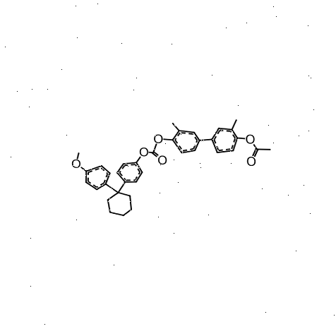 COc1ccc(C2(c3ccc(OC(=O)Oc4ccc(-c5ccc(OC(C)=O)c(C)c5)cc4C)cc3)CCCCC2)cc1